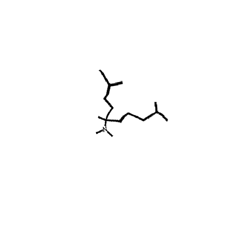 CC(C)CCCC(C)(CCC(C)C)N(C)C